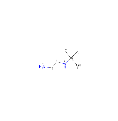 CC(C)(C#N)NCCN